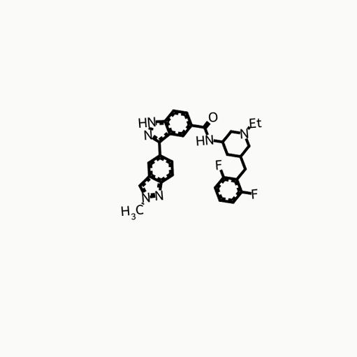 CCN1CC(Cc2c(F)cccc2F)CC(NC(=O)c2ccc3[nH]nc(-c4ccc5nn(C)cc5c4)c3c2)C1